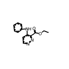 CCOC(=O)c1nnccc1Nc1ccccc1